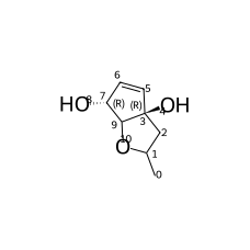 CC1C[C@@]2(O)C=C[C@@H](O)C2O1